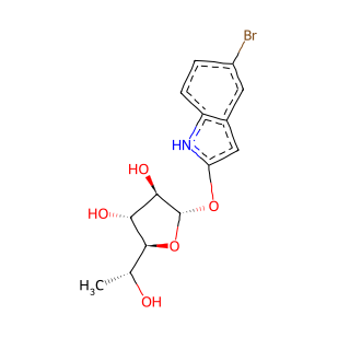 C[C@@H](O)[C@@H]1O[C@@H](Oc2cc3cc(Br)ccc3[nH]2)[C@H](O)[C@H]1O